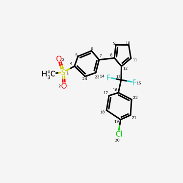 CS(=O)(=O)c1ccc(C2=CCC=C2C(F)(F)c2ccc(Cl)cc2)cc1